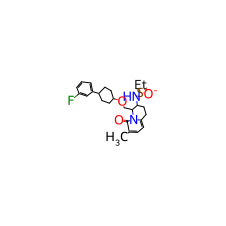 CC[S+]([O-])NC1CCc2ccc(C)c(=O)n2C1COC1CCC(c2cccc(F)c2)CC1